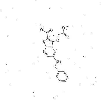 COC(=O)COc1c(C(=O)OC)sc2ncc(NCc3ccccc3)cc12